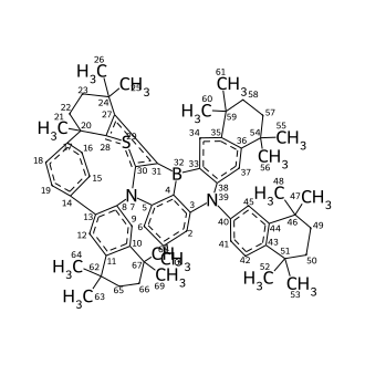 Cc1cc2c3c(c1)N1c4cc5c(cc4-c4ccc(cc4)C4(C)CCC(C)(C)c6c4sc1c6B3c1cc3c(cc1N2c1ccc2c(c1)C(C)(C)CCC2(C)C)C(C)(C)CCC3(C)C)C(C)(C)CCC5(C)C